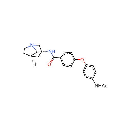 CC(=O)Nc1ccc(Oc2ccc(C(=O)N[C@@H]3C[C@H]4CCN(C4)C3)cc2)cc1